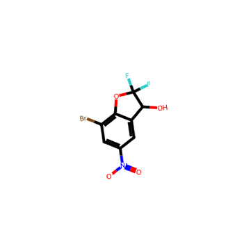 O=[N+]([O-])c1cc(Br)c2c(c1)C(O)C(F)(F)O2